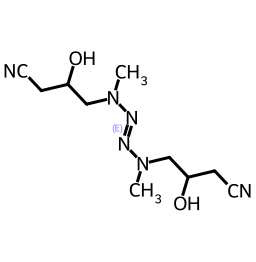 CN(CC(O)CC#N)/N=N/N(C)CC(O)CC#N